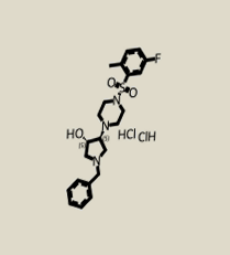 Cc1ccc(F)cc1S(=O)(=O)N1CCN([C@H]2CN(Cc3ccccc3)C[C@@H]2O)CC1.Cl.Cl